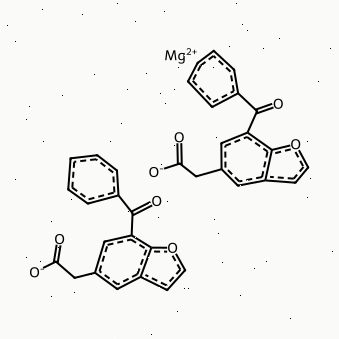 O=C([O-])Cc1cc(C(=O)c2ccccc2)c2occc2c1.O=C([O-])Cc1cc(C(=O)c2ccccc2)c2occc2c1.[Mg+2]